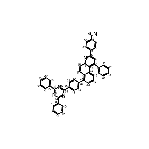 N#Cc1ccc(-c2cc(-c3ccccc3)c3c(ccc4c(-c5ccc(-c6nc(-c7ccccc7)nc(-c7ccccc7)n6)cc5)cccc43)n2)cc1